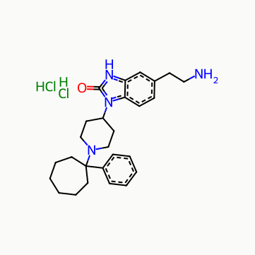 Cl.Cl.NCCc1ccc2c(c1)[nH]c(=O)n2C1CCN(C2(c3ccccc3)CCCCCC2)CC1